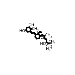 C=C1C(=CC=C2CCC[C@]3(C)[C@@H]([C@H](C)CCC(O)C(C)(C)O)CC[C@@H]23)C[C@@H](O)C[C@@H]1O